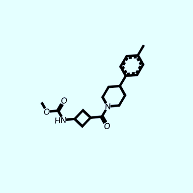 COC(=O)NC1CC(C(=O)N2CCC(c3ccc(C)cc3)CC2)C1